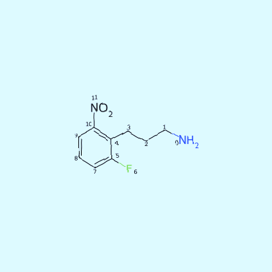 NCCCc1c(F)cccc1[N+](=O)[O-]